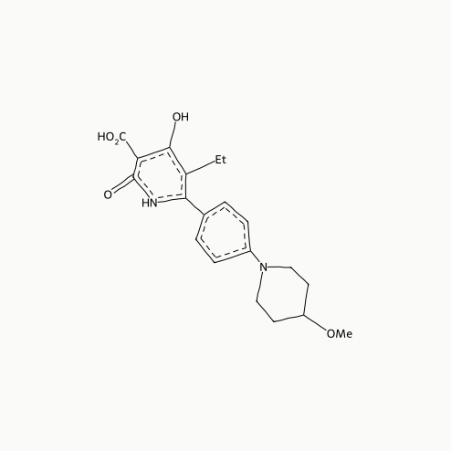 CCc1c(-c2ccc(N3CCC(OC)CC3)cc2)[nH]c(=O)c(C(=O)O)c1O